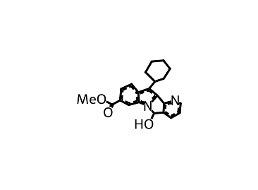 COC(=O)c1ccc2c(C3CCCCC3)c3n(c2c1)C(O)c1cccnc1-3